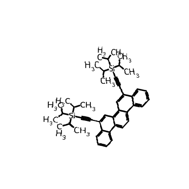 CC(C)[Si](C#Cc1cc2c(ccc3c4ccccc4c(C#C[Si](C(C)C)(C(C)C)C(C)C)cc32)c2ccccc12)(C(C)C)C(C)C